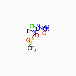 CCN(C(=O)CC[S+]([O-])CCC(F)(F)F)c1cn(C2=CN=NC2=O)nc1Cl